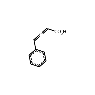 O=C(O)C=C=Cc1ccccc1